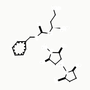 O=C(O)CC[C@H](NC(=O)OCc1ccccc1)C(=O)O.O=C1CCC(=O)N1O.O=C1CCC(=O)N1O